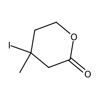 CC1(I)CCOC(=O)C1